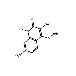 CCCCCCOc1c(OC(C)=O)c(=O)n(CC)c2cc([N+](=O)[O-])ccc12